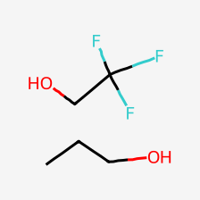 CCCO.OCC(F)(F)F